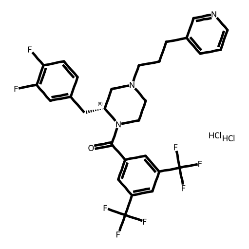 Cl.Cl.O=C(c1cc(C(F)(F)F)cc(C(F)(F)F)c1)N1CCN(CCCc2cccnc2)C[C@H]1Cc1ccc(F)c(F)c1